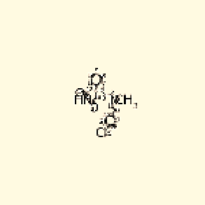 CN(CCCC1(c2ccccc2)CC(=O)NC(=O)C1)CCc1ccc(Cl)cc1